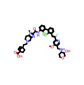 COc1cc(/C(F)=C/c2cccc(-c3cccc(NC(=O)c4nc5c(n4C)CCN(CCC46CCC(C(=O)O)(CC4)C6)C5)c3Cl)c2Cl)ncc1CN[C@@H]1CCOC[C@H]1O